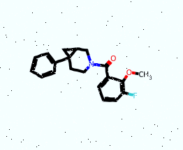 COc1c(F)cccc1C(=O)N1CCC2(c3ccccc3)CC2C1